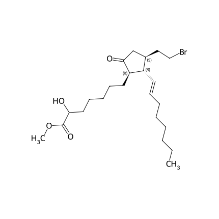 CCCCCCC=C[C@H]1[C@H](CCBr)CC(=O)[C@@H]1CCCCCC(O)C(=O)OC